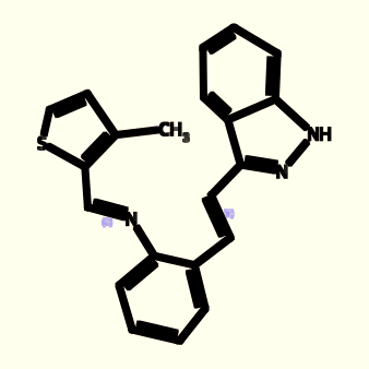 Cc1ccsc1/C=N/c1ccccc1/C=C/c1n[nH]c2ccccc12